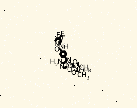 CC(O)C(=O)N1C[C@H](c2nc(-c3ccc(C(=O)Nc4cc(C(F)(F)F)ccn4)cc3)c3c(N)ncc(Cl)n23)OC[C@@H]1C